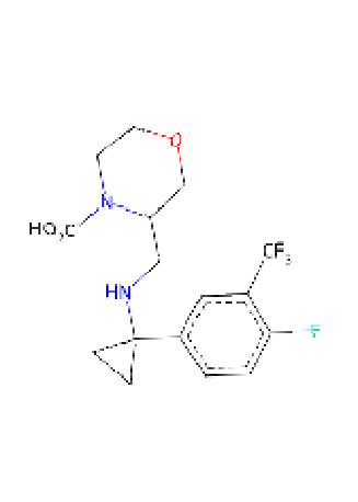 O=C(O)N1CCOCC1CNC1(c2ccc(F)c(C(F)(F)F)c2)CC1